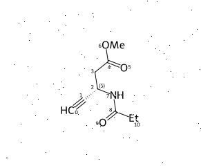 C#C[C@H](CC(=O)OC)NC(=O)CC